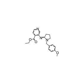 CCOC(=O)c1ccncc1N=C1CCCN1Cc1ccc(OC)cc1